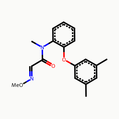 CON=CC(=O)N(C)c1ccccc1Oc1cc(C)cc(C)c1